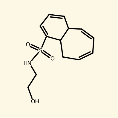 O=S(=O)(NCCO)C1=CC=CC2C=CC=CCC12